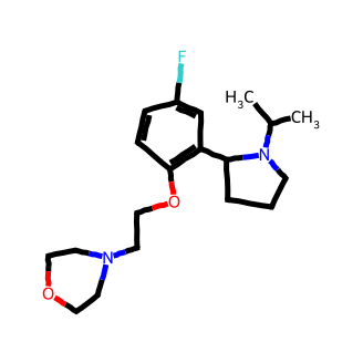 CC(C)N1CCCC1c1cc(F)ccc1OCCN1CCOCC1